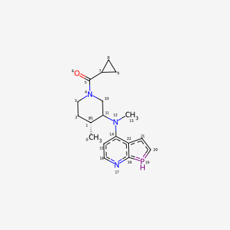 C[C@@H]1CCN(C(=O)C2CC2)CC1N(C)c1ccnc2[pH]ccc12